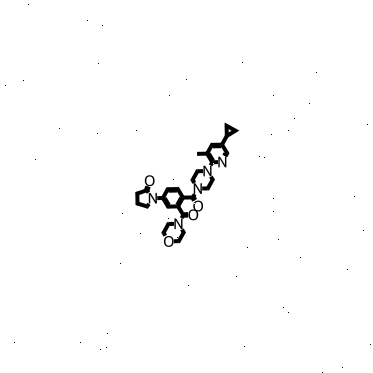 Cc1cc(C2CC2)cnc1N1CCN(C(=O)c2ccc(N3CCCC3=O)cc2C(=O)N2CCOCC2)CC1